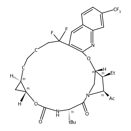 CC[C@@H]1[C@@H]2CN(C(=O)[C@H](C(C)(C)C)NC(=O)O[C@@H]3C[C@H]3CCCCC(F)(F)c3cc4ccc(C(F)(F)F)cc4nc3O2)[C@@H]1C(C)=O